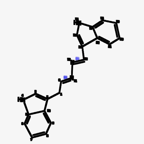 C(/Cc1c[nH]c2ccccc12)=N\N=C\c1c[nH]c2ccccc12